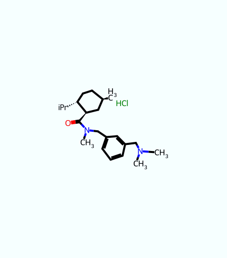 CC(C)[C@@H]1CC[C@@H](C)C[C@H]1C(=O)N(C)Cc1cccc(CN(C)C)c1.Cl